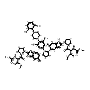 COC(=O)NC(C(=O)N1CCC[C@H]1c1nc2cc([C@H]3CC[C@H](c4cc5nc([C@@H]6CCCN6C(=O)C(NC(=O)O)C(C)OC)[nH]c5cc4F)N3c3cc(F)c(N4CCN(c5c(F)cccc5F)CC4)c(F)c3)c(F)cc2[nH]1)C(C)OC